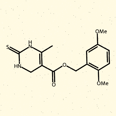 COc1ccc(OC)c(COC(=O)C2=C(C)NC(=S)NC2)c1